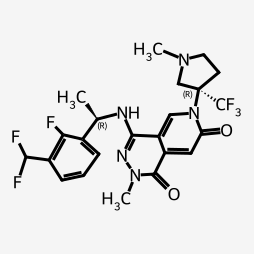 C[C@@H](Nc1nn(C)c(=O)c2cc(=O)n([C@]3(C(F)(F)F)CCN(C)C3)cc12)c1cccc(C(F)F)c1F